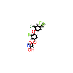 Oc1cc(Oc2ccc(Oc3ccc(C(F)(F)F)cc3Cl)c(F)c2)on1